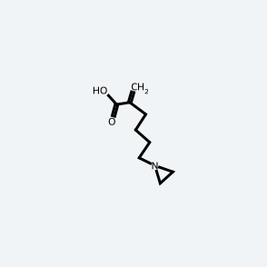 C=C(CCCCN1CC1)C(=O)O